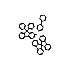 C1=CC(c2ccc(N(c3ccc4c(c3)C(c3ccccc3)(c3ccccc3)c3ccccc3-4)c3ccc4c(c3)C3(c5ccccc5-c5ccccc53)c3ccccc3-4)cc2)=CCC1